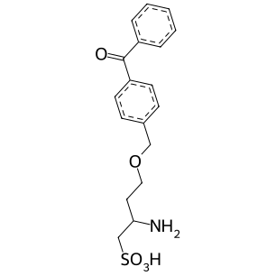 NC(CCOCc1ccc(C(=O)c2ccccc2)cc1)CS(=O)(=O)O